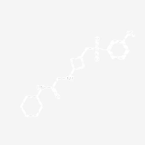 O=C(CNC1CC(CS(=O)(=O)c2cccc(C(F)(F)F)c2)C1)NC1CCCCC1